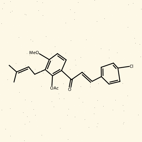 COc1ccc(C(=O)/C=C/c2ccc(Cl)cc2)c(OC(C)=O)c1CC=C(C)C